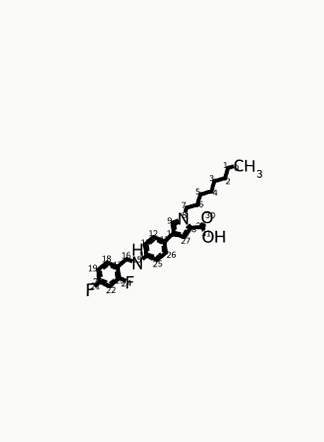 CCCCCCCCn1cc(-c2ccc(NCc3ccc(F)cc3F)cc2)cc1C(=O)O